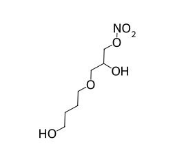 O=[N+]([O-])OCC(O)COCCCCO